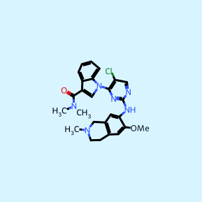 COc1cc2c(cc1Nc1ncc(Cl)c(-n3cc(C(=O)N(C)C)c4ccccc43)n1)CN(C)CC2